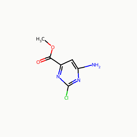 COC(=O)c1cc(N)nc(Cl)n1